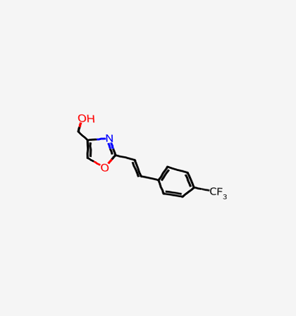 OCc1coc(/C=C/c2ccc(C(F)(F)F)cc2)n1